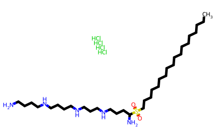 CCCCCCCCCCCCCCCCCCS(=O)(=O)C(N)CCCNCCCNCCCCNCCCCN.Cl.Cl.Cl.Cl